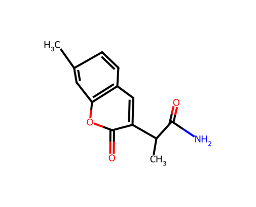 Cc1ccc2cc(C(C)C(N)=O)c(=O)oc2c1